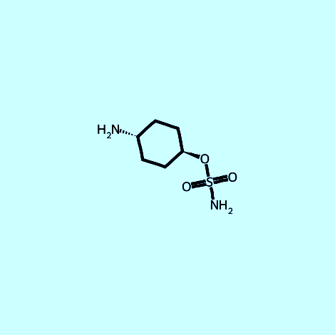 NS(=O)(=O)O[C@H]1CC[C@H](N)CC1